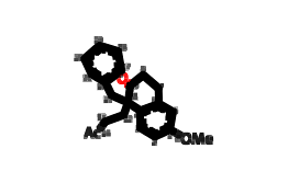 COc1ccc2c(c1)CCC(=O)C2(CCC(C)=O)Cc1ccccc1